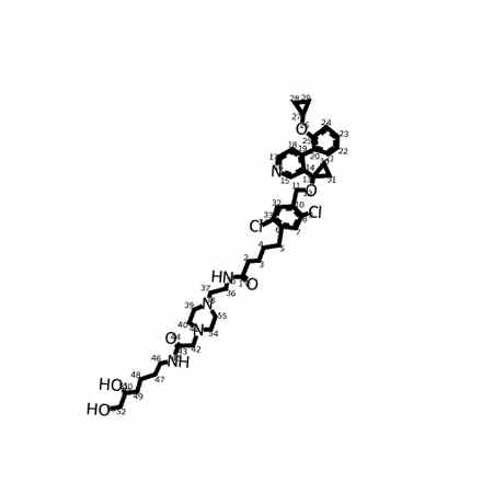 O=C(CCCCc1cc(Cl)c(COC2(c3cnccc3-c3ccccc3OC3CC3)CC2)cc1Cl)NCCN1CCN(CC(=O)NCCCC[C@H](O)CO)CC1